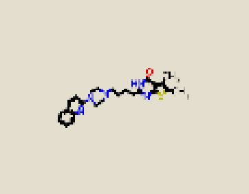 Cc1sc2nc(CCCCN3CCN(c4ccc5ccccc5n4)CC3)[nH]c(=O)c2c1C